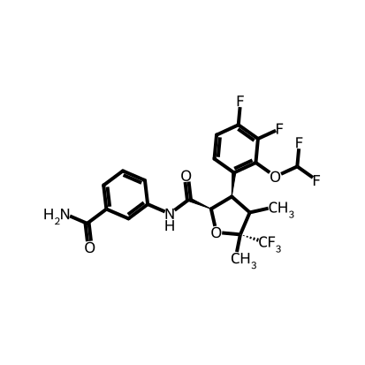 CC1[C@H](c2ccc(F)c(F)c2OC(F)F)[C@H](C(=O)Nc2cccc(C(N)=O)c2)O[C@@]1(C)C(F)(F)F